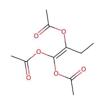 CCC(OC(C)=O)=C(OC(C)=O)OC(C)=O